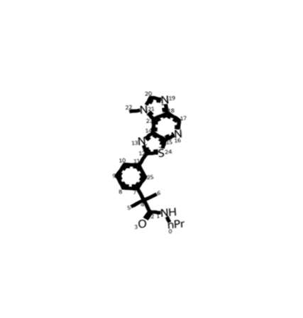 CCCNC(=O)C(C)(C)c1cccc(-c2nc3c(ncc4ncn(C)c43)s2)c1